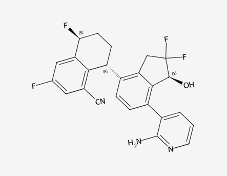 N#Cc1cc(F)cc2c1[C@@H](c1ccc(-c3cccnc3N)c3c1CC(F)(F)[C@H]3O)CC[C@@H]2F